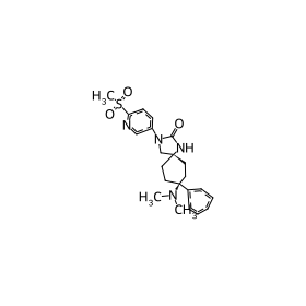 CN(C)[C@]1(c2ccccc2)CC[C@@]2(CC1)CN(c1ccc(S(C)(=O)=O)nc1)C(=O)N2